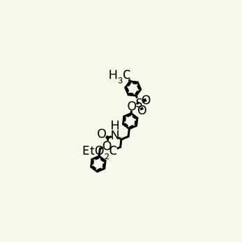 CCOC(=O)CC(Cc1ccc(OS(=O)(=O)c2ccc(C)cc2)cc1)NC(=O)OCc1ccccc1